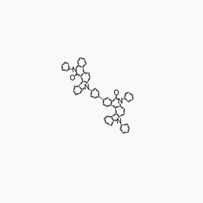 O=c1c2c(ccc3c2c2ccccc2n3-c2ccc(-c3ccc4c(c3)c(=O)n(-c3ccccc3)c3ccc5c(c6ccccc6n5-c5ccccc5)c43)cc2)c2ccccc2n1-c1ccccc1